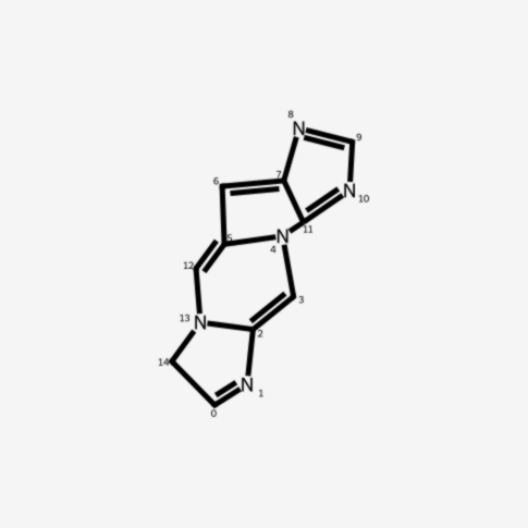 C1=Nc2cn3c(cc4ncnc43)cn2C1